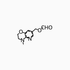 CN1CCOc2cc(COC=O)cnc21